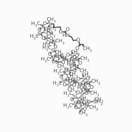 C=CC(=O)OCCNC(=O)OCCC[Si](C)(C)O[Si](C)(C)O[Si](C)(C)O[Si](C)(C)O[Si](C)(C)O[Si](C)(C)O[Si](C)(C)O[Si](C)(C)O[Si](C)(C)O[Si](C)(C)O[Si](C)(C)O[Si](C)(C)O[Si](C)(C)O[Si](C)(C)O[Si](C)(C)O[Si](C)(C)O[Si](C)(C)O[Si](C)(C)O[Si](C)(C)O[Si](C)(C)O[Si](C)(C)O[Si](C)(C)O[Si](C)(C)O[Si](C)(C)O[Si](C)(C)O[SiH2]C